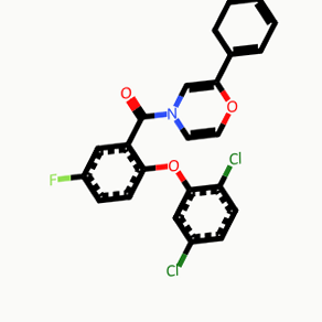 O=C(c1cc(F)ccc1Oc1cc(Cl)ccc1Cl)N1C=COC(C2=CC=CCC2)=C1